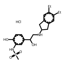 CCc1cc2c(cc1CC)CC(NCC(O)c1ccc(O)c(NS(C)(=O)=O)c1)C2.Cl